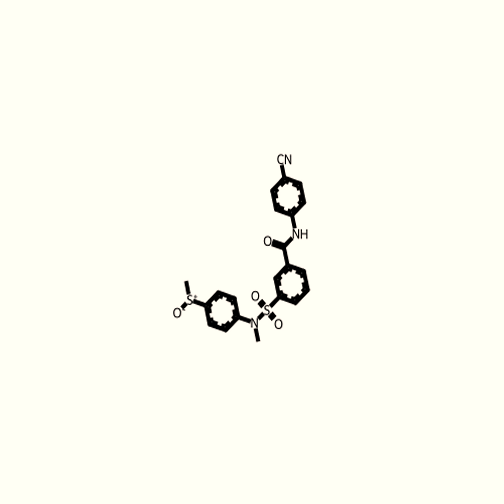 CN(c1ccc([S+](C)[O-])cc1)S(=O)(=O)c1cccc(C(=O)Nc2ccc(C#N)cc2)c1